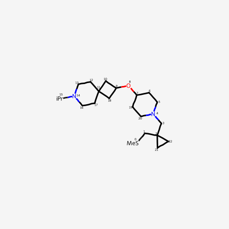 CSCC1(CN2CCC(OC3CC4(CCN(C(C)C)CC4)C3)CC2)CC1